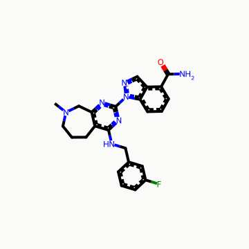 CN1CCCc2c(nc(-n3ncc4c(C(N)=O)cccc43)nc2NCc2cccc(F)c2)C1